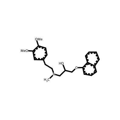 COc1ccc(CCN(C)CC(O)COc2cccc3ccccc23)cc1OC